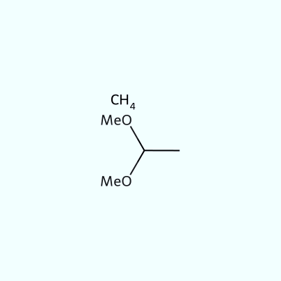 C.COC(C)OC